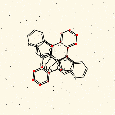 CC(C)(C)c1nc2ncccc2n1-c1ccccc1-c1cccc(-c2ccccc2)c1-c1c(-c2ccccc2)cccc1-c1ccccc1-n1c(C(C)(C)C)nc2ncccc21